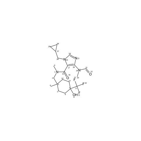 CN(CC1(C)CCC(O)(C(F)(F)F)CC1)C(=O)c1c(N(C)C=O)ncn1CC1CC1